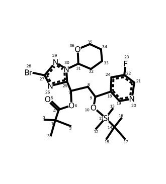 CC(C)(C)C(=O)OC(CC(O[Si](C)(C)C(C)(C)C)c1cncc(F)c1)c1nc(Br)nn1C1CCCCO1